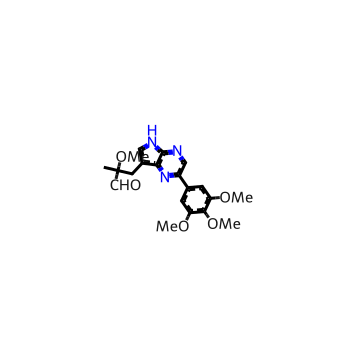 COc1cc(-c2cnc3[nH]cc(CC(C)(C=O)OC)c3n2)cc(OC)c1OC